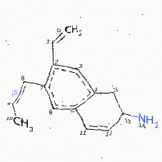 C=Cc1cc2c(cc1/C=C\C)C=CC(N)C2